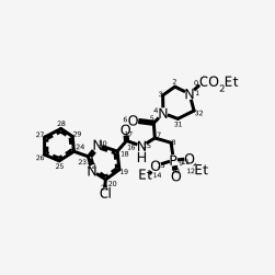 CCOC(=O)N1CCN(C(=O)C(CP(=O)(OCC)OCC)NC(=O)c2cc(Cl)nc(-c3ccccc3)n2)CC1